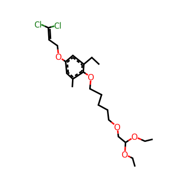 CCOC(COCCCCCOc1c(C)cc(OCC=C(Cl)Cl)cc1CC)OCC